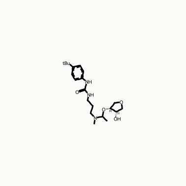 CC(O[C@@H]1COC[C@@H]1O)N(C)CCCNC(=O)Nc1ccc(C(C)(C)C)cc1